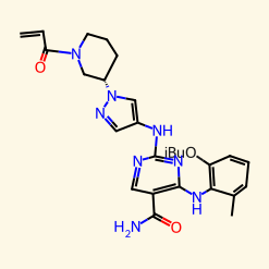 C=CC(=O)N1CCC[C@H](n2cc(Nc3ncc(C(N)=O)c(Nc4c(C)cccc4OCC(C)C)n3)cn2)C1